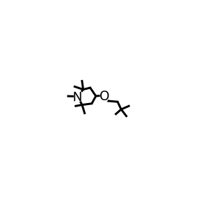 CN1C(C)(C)CC(OCCC(C)(C)C)CC1(C)C